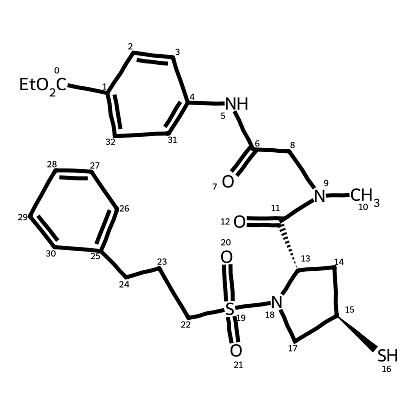 CCOC(=O)c1ccc(NC(=O)CN(C)C(=O)[C@@H]2C[C@@H](S)CN2S(=O)(=O)CCCc2ccccc2)cc1